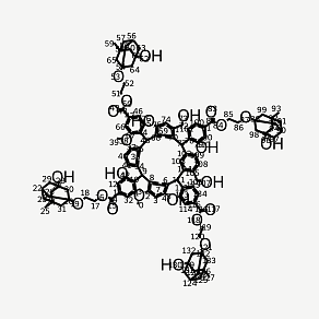 COc1cc(O)c2cc1C(c1ccc(C(=O)OCCOC34CC5CC(C)(CC(O)(C5)C3)C4)cc1)c1cc(c(OC)cc1O)C(c1ccc(C(=O)OCCOC34CC5CC(C)(CC(O)(C5)C3)C4)cc1)c1cc(c(CO)cc1O)C(c1ccc(C(=O)OCCOC34CC5CC(C)(CC(O)(C5)C3)C4)cc1)c1cc(c(CO)cc1O)C2c1ccc(C(=O)OCCOC23CC4CC(C)(CC(O)(C4)C2)C3)cc1